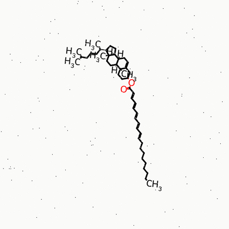 CCCCCCCCCC=CC=CC=CC=CC=CC(=O)O[C@H]1CC[C@@]2(C)C(=CC[C@H]3[C@@H]4CC[C@H](C(C)CCCC(C)C)[C@@]4(C)CC[C@@H]32)C1